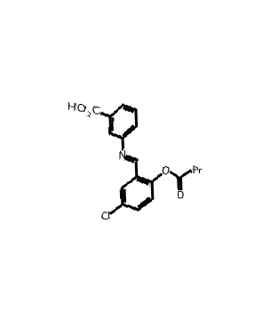 CC(C)C(=O)Oc1ccc(Cl)cc1C=Nc1cccc(C(=O)O)c1